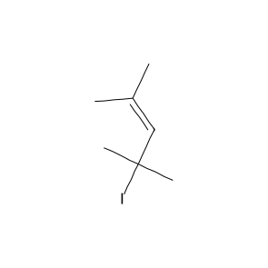 CC(C)=CC(C)(C)I